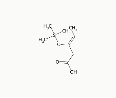 CC=C(CC(=O)O)O[Si](C)(C)C